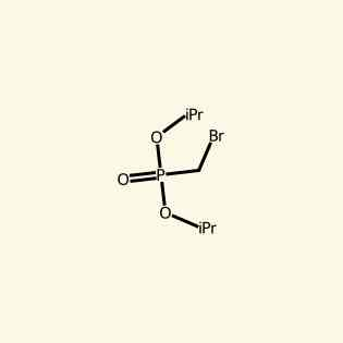 CC(C)OP(=O)(CBr)OC(C)C